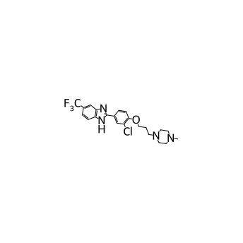 CN1CCN(CCCOc2ccc(-c3nc4cc(C(F)(F)F)ccc4[nH]3)cc2Cl)CC1